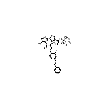 CC(CCc1ncc(CCc2ccccc2)cc1F)C(=O)c1c(Cl)cnn1C1CCN(C(=O)OC(C)(C)C)C1